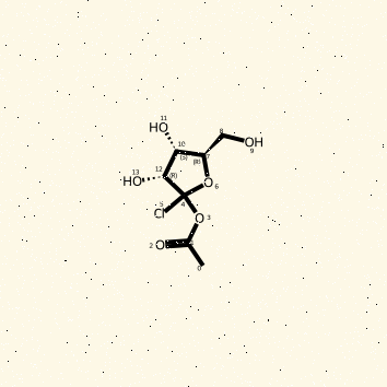 CC(=O)OC1(Cl)O[C@H](CO)[C@@H](O)[C@H]1O